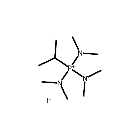 CC(C)[P+](N(C)C)(N(C)C)N(C)C.[I-]